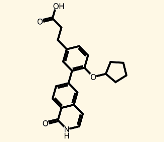 O=C(O)CCc1ccc(OC2CCCC2)c(-c2ccc3c(=O)[nH]ccc3c2)c1